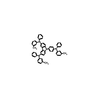 Cc1cccc(N(c2ccccc2)c2ccc(-n3c4ccc(N(c5ccccc5)c5cccc(C)c5)cc4c4cc(N(c5ccccc5)c5cccc(C)c5)ccc43)cc2)c1